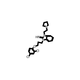 N=c1n(CCCOc2ccc(Cl)cc2Cl)c2ccccc2n1CCN1CCCC1